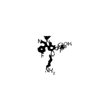 N#CC1=C(c2cccc(F)c2)C2=CC(OCCCCCN)C(=O)CC2=CN1C1CC1.O=C(O)C(F)(F)F